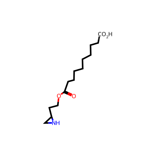 O=C(O)CCCCCCCCC(=O)OCCC1CN1